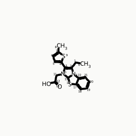 CCC1=C(c2ccc(C)s2)N(CC(=O)O)C2Sc3ccccc3N12